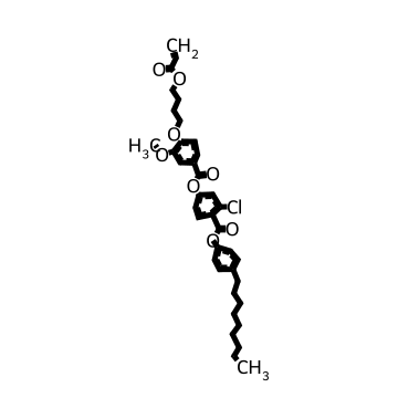 C=CC(=O)OCCCCOc1ccc(C(=O)Oc2ccc(C(=O)Oc3ccc(CCCCCCCCC)cc3)c(Cl)c2)cc1OC